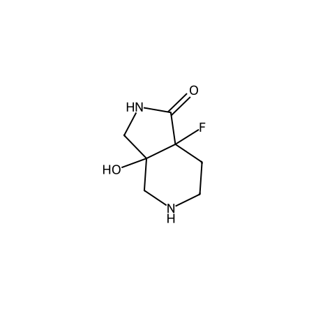 O=C1NCC2(O)CNCCC12F